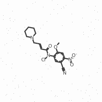 COc1cc([N+](=O)[O-])c(C#N)cc1N(Cl)C(=O)C=CCN1CCCCC1